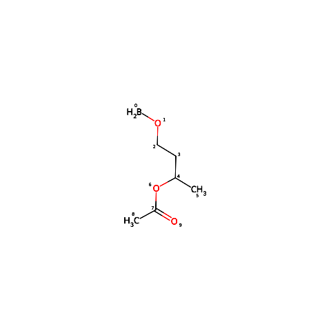 BOCCC(C)OC(C)=O